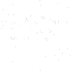 CCNC(=O)C(O)[C@H]1O[C@@H](n2cnc3c(N)nc(N(C)CCC4CCCCC4)nc32)[C@H](O)[C@@H]1O